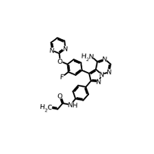 C=CC(=O)Nc1ccc(-c2nn3ncnc(N)c3c2-c2ccc(Oc3ncccn3)c(F)c2)cc1